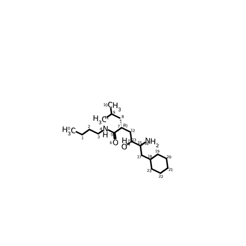 CCCCNC(=O)[C@H](CC(C)C)C[C@H](O)C(N)CC1CCCCC1